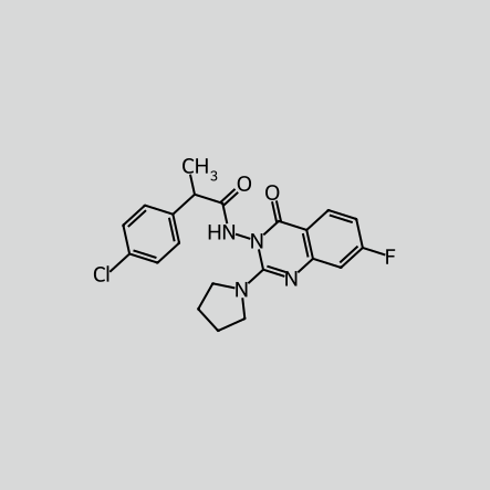 CC(C(=O)Nn1c(N2CCCC2)nc2cc(F)ccc2c1=O)c1ccc(Cl)cc1